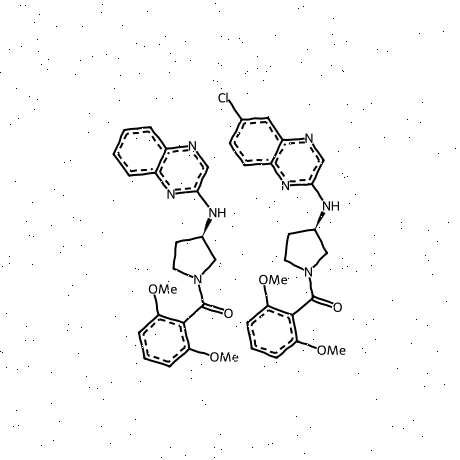 COc1cccc(OC)c1C(=O)N1CC[C@@H](Nc2cnc3cc(Cl)ccc3n2)C1.COc1cccc(OC)c1C(=O)N1CC[C@@H](Nc2cnc3ccccc3n2)C1